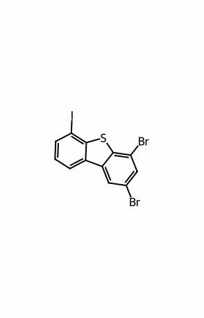 Brc1cc(Br)c2sc3c(I)cccc3c2c1